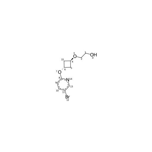 OCCO[C@H]1C[C@H](Oc2ccc(Br)cn2)C1